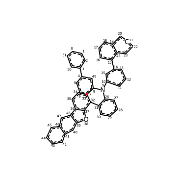 c1ccc(-c2cccc(N(c3cccc(-c4cccc5ccccc45)c3)c3ccccc3-c3cccc4c3oc3cc5ccccc5cc34)c2)cc1